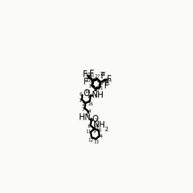 CCC(CCNC(=O)CC1(N)CCCCC1)CC(=O)Nc1cc(C(F)(F)F)cc(C(F)(F)F)c1